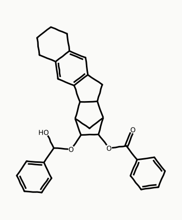 O=C(OC1C2CC(C1OC(O)c1ccccc1)C1c3cc4c(cc3CC21)CCCC4)c1ccccc1